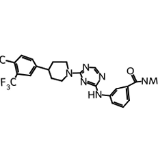 CNC(=O)c1cccc(Nc2ncnc(N3CCC(c4ccc(C#N)c(C(F)(F)F)c4)CC3)n2)c1